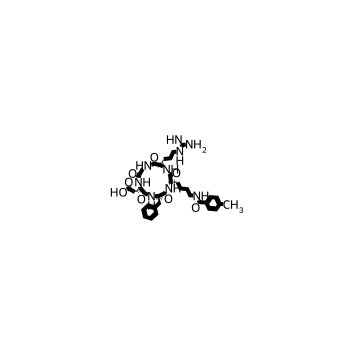 Cc1ccc(C(=O)NCCCC[C@@H]2NC(=O)[C@@H](Cc3ccccc3)NC(=O)[C@H](CC(=O)O)NC(=O)CNC(=O)[C@H](CCCNC(=N)N)NC2=O)cc1